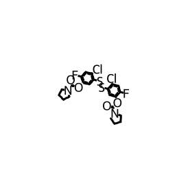 O=C(Oc1cc(SSc2cc(OC(=O)N3CCCC3)c(F)cc2Cl)c(Cl)cc1F)N1CCCC1